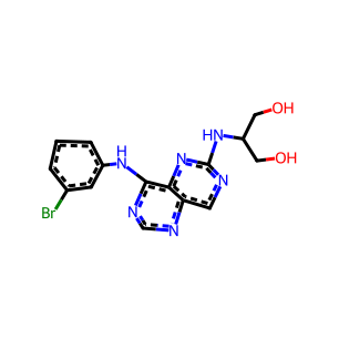 OCC(CO)Nc1ncc2ncnc(Nc3cccc(Br)c3)c2n1